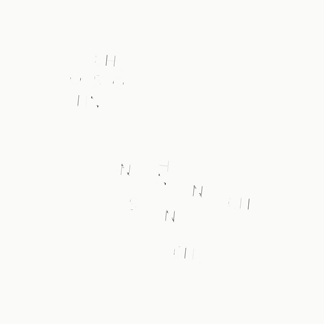 Cc1cc(C)nc(NC2SCCN2c2cccc(NS(C)(=O)=O)c2)n1